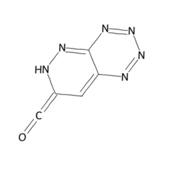 O=C=C1C=c2nnnnc2=NN1